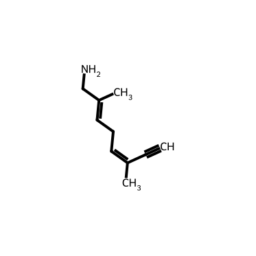 C#C/C(C)=C\C/C=C(\C)CN